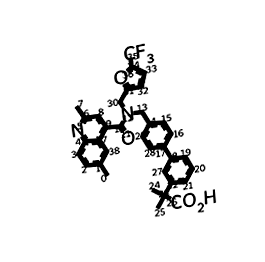 Cc1ccc2nc(C)cc(C(=O)N(Cc3ccc(-c4cccc(C(C)(C)C(=O)O)c4)cc3)Cc3ccc(C(F)(F)F)o3)c2c1